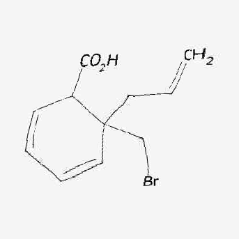 C=CCC1(CBr)C=CC=CC1C(=O)O